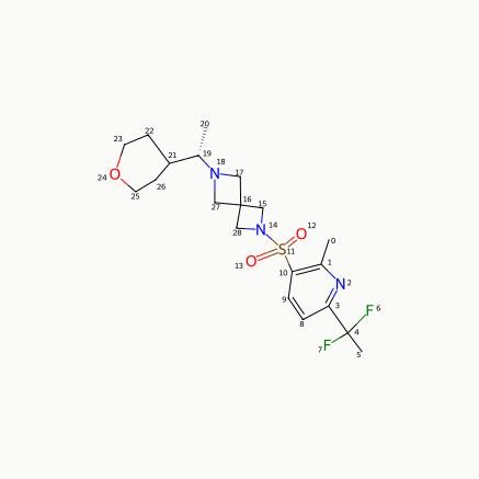 Cc1nc(C(C)(F)F)ccc1S(=O)(=O)N1CC2(CN([C@@H](C)C3CCOCC3)C2)C1